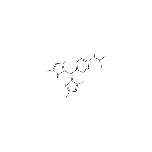 CC(=O)Nc1ccc(/C(=C2/N=C(C)C=C2C)c2[nH]c(C)cc2C)cc1